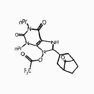 CCCn1c2c(c(=O)n(CCC)c1=O)NC(C1CC3CCC(C1)C3=O)N2OC(=O)C(F)(F)F